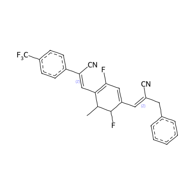 CC1C(/C=C(\C#N)c2ccc(C(F)(F)F)cc2)=C(F)C=C(/C=C(\C#N)Cc2ccccc2)C1F